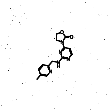 Cc1ccc(CNc2nccc(N3CCOC3=O)n2)nc1